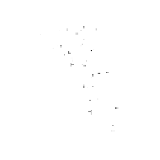 Cc1cc(C)c2cc(C(=O)N[C@H]3CC[C@H](C)CC3)[nH]c2c1